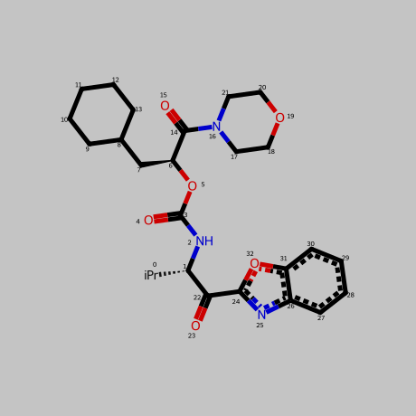 CC(C)[C@H](NC(=O)O[C@@H](CC1CCCCC1)C(=O)N1CCOCC1)C(=O)c1nc2ccccc2o1